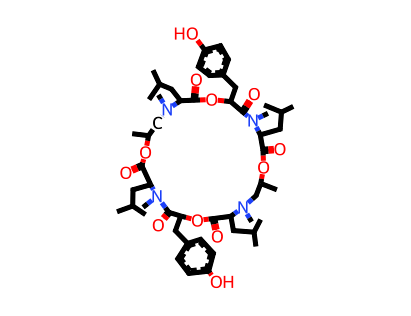 CC(C)CC1C(=O)OC(Cc2ccc(O)cc2)C(=O)N(C)C(CC(C)C)C(=O)OC(C)CN(C)C(CC(C)C)C(=O)OC(Cc2ccc(O)cc2)C(=O)N(C)C(CC(C)C)C(=O)OC(C)CN1C